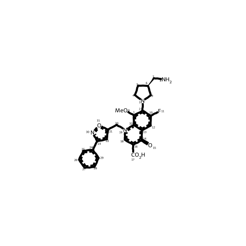 COc1c(N2CC[C@@H](CN)C2)c(F)cc2c(=O)c(C(=O)O)cn(Cc3cc(-c4ccccc4)no3)c12